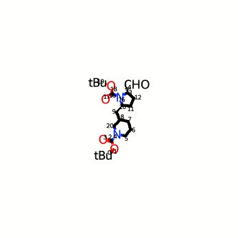 CC(C)(C)OC(=O)N1CCCC(C[C@@H]2CC[C@H](C=O)N2C(=O)OC(C)(C)C)C1